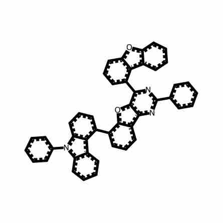 c1ccc(-c2nc(-c3cccc4oc5ccccc5c34)c3oc4c(-c5cccc6c5c5ccccc5n6-c5ccccc5)cccc4c3n2)cc1